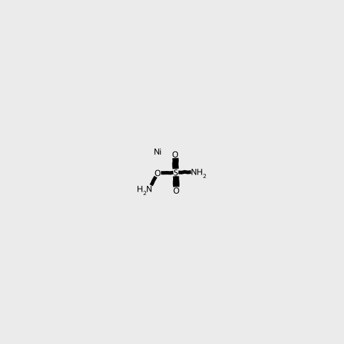 NOS(N)(=O)=O.[Ni]